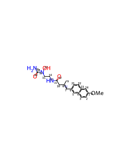 COc1ccc2cc(/C=C(\C)CC(=O)NCCN(O)C(N)=O)ccc2c1